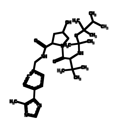 Cc1ncsc1-c1ccc(CNC(=O)C2CC(O)CN2C(=O)C(NC(C)(C)OC(C)(C)C(C)C)C(C)(C)C)cc1